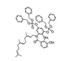 CC(C)=CCC/C(C)=C/CC/C(C)=C/CN1C(=O)c2cccc(O)c2Nc2c(OP(=O)(OCc3ccccc3)OCc3ccccc3)cc(OP(=O)(OCc3ccccc3)OCc3ccccc3)cc21